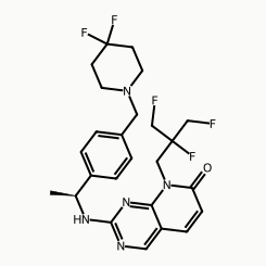 C[C@H](Nc1ncc2ccc(=O)n(CC(F)(CF)CF)c2n1)c1ccc(CN2CCC(F)(F)CC2)cc1